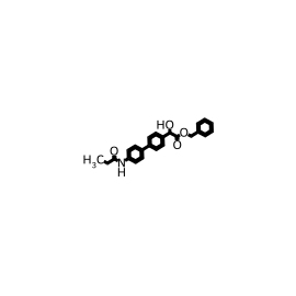 CCC(=O)Nc1ccc(-c2ccc(C(O)C(=O)OCc3ccccc3)cc2)cc1